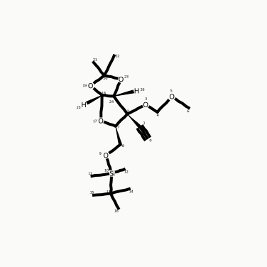 C#C[C@@]1(OCOC)[C@@H](CO[Si](C)(C)C(C)(C)C)O[C@@H]2OC(C)(C)O[C@@H]21